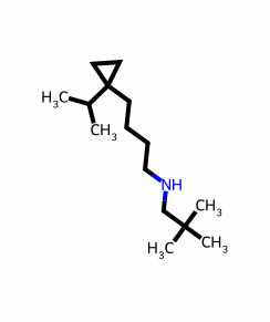 CC(C)C1(CCCCNCC(C)(C)C)CC1